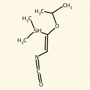 CC(C)OC(=CN=C=O)[SiH](C)C